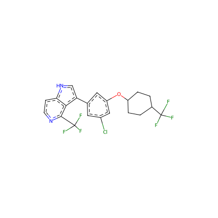 FC(F)(F)c1nccc2[nH]cc(-c3cc(Cl)cc(OC4CCC(C(F)(F)F)CC4)c3)c12